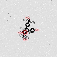 CC(C)C(CC(C)(c1ccc(C(C)(C)CO)cc1)c1ccc(C(C)(C)CO)cc1)(c1ccc(O)cc1)c1ccc(O)cc1